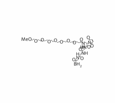 BC(=O)CNC(=O)CNC(=O)CNC(=O)C(CNC(=O)CCOCCOCCOCCOCCOCCOCCOCCOC)N1C(=O)C=CC1=O